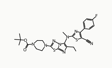 CCc1nc2sc(N3CCN(C(=O)OC(C)(C)C)CC3)nn2c1N(C)c1nc(-c2ccc(F)cc2)c(C#N)s1